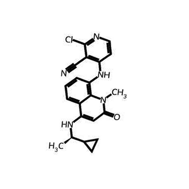 C[C@@H](Nc1cc(=O)n(C)c2c(Nc3ccnc(Cl)c3C#N)cccc12)C1CC1